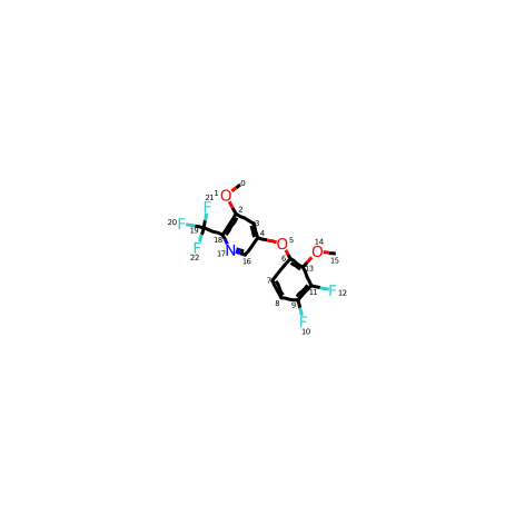 COc1cc(Oc2ccc(F)c(F)c2OC)cnc1C(F)(F)F